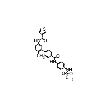 Cc1ccc(NC(=O)c2ccsc2)cc1-c1ccc(C(=O)Nc2ccc(NS(C)(=O)=O)cc2)cc1